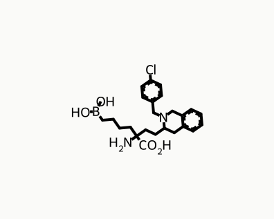 NC(CCCCB(O)O)(CCC1Cc2ccccc2CN1Cc1ccc(Cl)cc1)C(=O)O